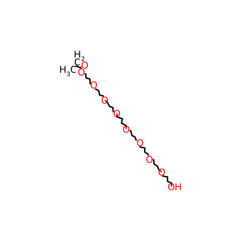 C=C(C)C(=O)OCCCCOCCCCOCCCCOCCCCOCCCCOCCCCOCCCCOCCCCO